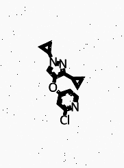 Clc1cc(Oc2cn(C3CC3)nc2C2CC2)ccn1